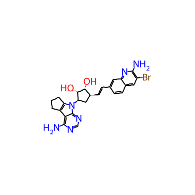 Nc1nc2cc(/C=C/[C@H]3C[C@@H](n4c5c(c6c(N)ncnc64)CCC5)[C@H](O)[C@@H]3O)ccc2cc1Br